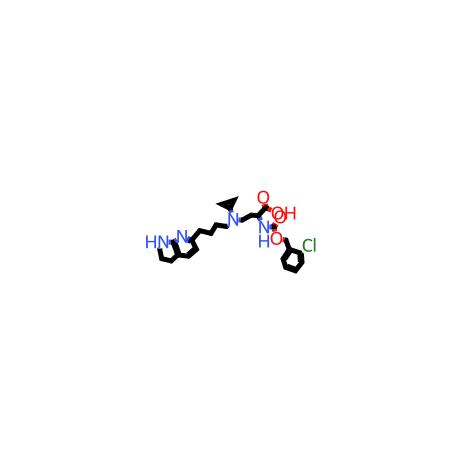 O=C(NC(CCN(CCCCc1ccc2c(n1)NCCC2)C1CC1)C(=O)O)OCc1ccccc1Cl